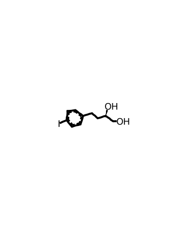 OC[C@H](O)CCc1ccc(I)cc1